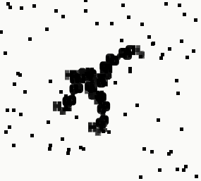 C=CC(=O)OCCCCOC(=O)CCC(=O)NC(=N)c1cccc(-c2noc(-c3cc(-c4nc(-c5cccc(-c6noc(CCC(=O)OCCCCOC(=O)C=C)n6)c5)no4)cc(-c4nc(-c5cccc(-c6noc(CCC(=O)OCCCCOC(=O)C=C)n6)c5)no4)c3)n2)c1